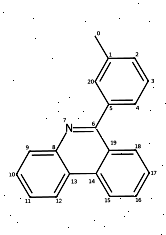 Cc1cccc(-c2nc3ccccc3c3ccccc23)c1